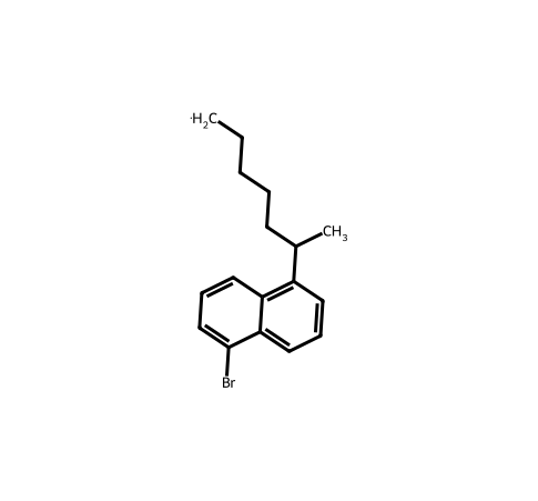 [CH2]CCCCC(C)c1cccc2c(Br)cccc12